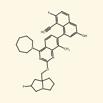 C#Cc1c(F)ccc2cc(O)cc(-c3ccc4c(N5CCCCCC5)nc(OCC56CCCN5CC(F)C6)nc4c3C)c12